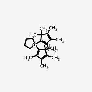 CC1=C(C)C(C)(C)[C]([Zr]2([C]3=C(C)C(C)=C(C)C3(C)C)[CH2]CC[CH2]2)=C1C